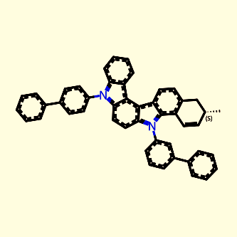 C[C@@H]1C=Cc2c(ccc3c4c5c6ccccc6n(-c6ccc(-c7ccccc7)cc6)c5ccc4n(-c4cccc(-c5ccccc5)c4)c23)C1